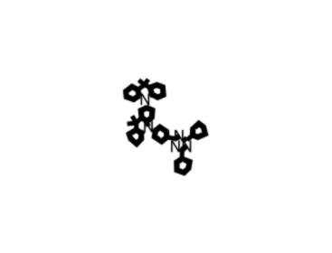 CC1(C)c2ccccc2N(c2ccc3c(c2)C(C)(C)c2ccccc2N3c2ccc(-c3nc(-c4ccccc4)nc(-c4ccccc4)n3)cc2)c2ccccc21